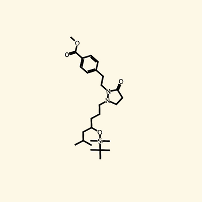 COC(=O)c1ccc(CCN2C(=O)CCN2CCCC(CC(C)C)O[Si](C)(C)C(C)(C)C)cc1